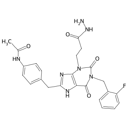 CC(=O)Nc1ccc(Cc2nc3c([nH]2)c(=O)n(Cc2ccccc2F)c(=O)n3CCC(=O)NN)cc1